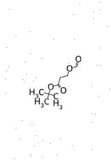 CC(C)(C)OC(=O)CCOC=O